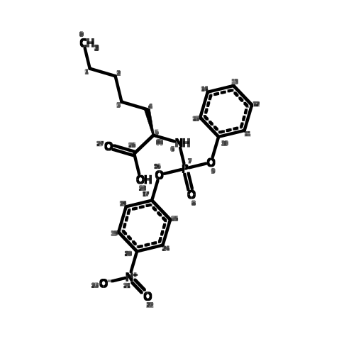 CCCCC[C@@H](NP(=O)(Oc1ccccc1)Oc1ccc([N+](=O)[O-])cc1)C(=O)O